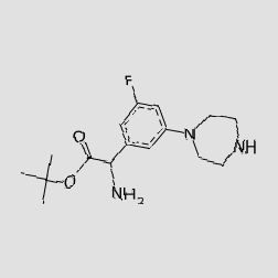 CC(C)(C)OC(=O)C(N)c1cc(F)cc(N2CCNCC2)c1